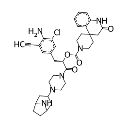 C#Cc1cc(C[C@@H](OC(=O)N2CCC3(CC2)CC(=O)Nc2ccccc23)C(=O)N2CCN(C3CC4CCC(C3)N4)CC2)cc(Cl)c1N